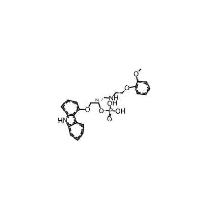 COc1ccccc1OCCNC[C@@H](COc1cccc2[nH]c3ccccc3c12)OP(=O)(O)O